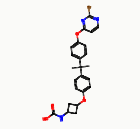 CC(C)(c1ccc(Oc2ccnc(Br)n2)cc1)c1ccc(OC2CC(NC(=O)O)C2)cc1